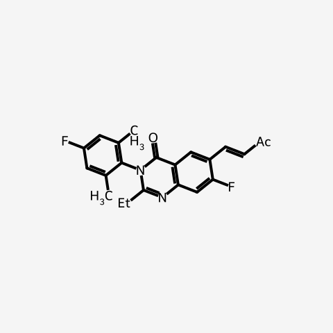 CCc1nc2cc(F)c(/C=C/C(C)=O)cc2c(=O)n1-c1c(C)cc(F)cc1C